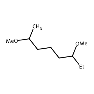 [CH2]CC(CCCC(C)OC)OC